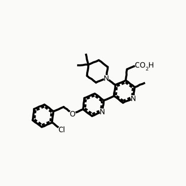 Cc1ncc(-c2ccc(OCc3ccccc3Cl)cn2)c(N2CCC(C)(C)CC2)c1CC(=O)O